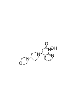 O=c1cc(N2CCC(N3CCOCC3)CC2)c2cccnc2n1O